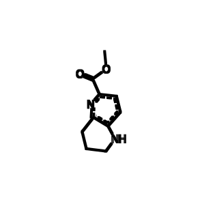 COC(=O)c1ccc2c(n1)CCCN2